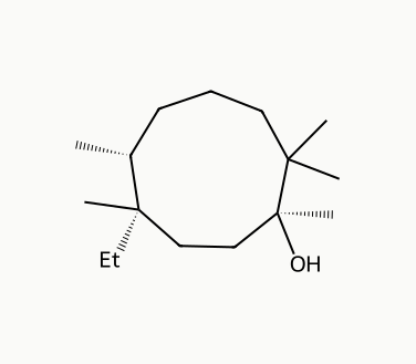 CC[C@@]1(C)CC[C@](C)(O)C(C)(C)CCC[C@H]1C